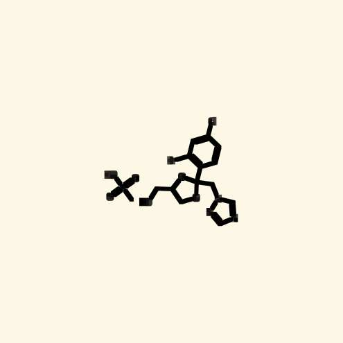 CS(=O)(=O)O.OCC1COC(Cn2cncn2)(c2ccc(Cl)cc2Br)O1